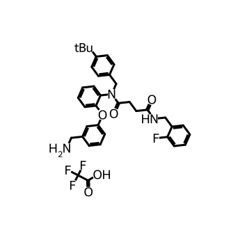 CC(C)(C)c1ccc(CN(C(=O)CCC(=O)NCc2ccccc2F)c2ccccc2Oc2cccc(CN)c2)cc1.O=C(O)C(F)(F)F